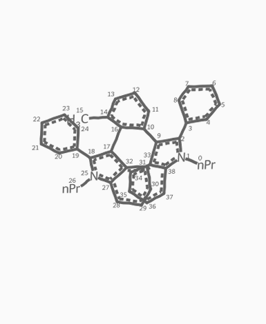 CCCn1c(-c2ccccc2)c(-c2cccc(C)c2-c2c(-c3ccccc3)n(CCC)c3ccccc23)c2ccccc21